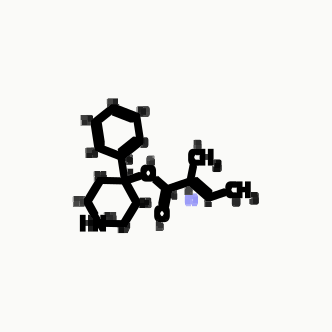 C/C=C(\C)C(=O)OC1(c2ccccc2)CCNCC1